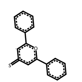 S=c1[c]c(-c2ccccc2)oc(-c2ccccc2)c1